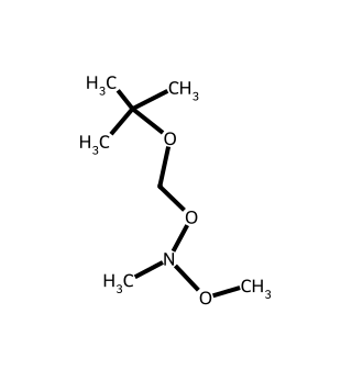 CON(C)OCOC(C)(C)C